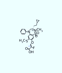 CSc1cc2c(cc1O/C=C(\F)C(=O)O)S(=O)(=O)N(C)[C@@H](CCC1CC1)CN2c1ccccc1